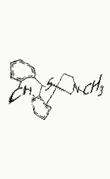 Cc1ccccc1C1SC2(CCN(C)CC2)c2ccccc21